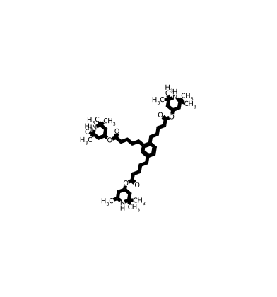 CC1CC(OC(=O)CCCCc2ccc(CCCCC(=O)OC3CC(C)(C)NC(C)(C)C3)c(CCCCC(=O)OC3CC(C)(C)NC(C)(C)C3)c2)CC(C)(C)N1